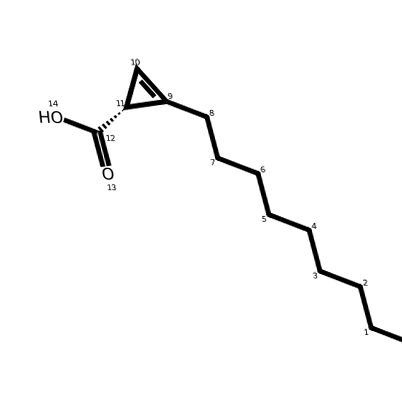 CCCCCCCCCC1=C[C@H]1C(=O)O